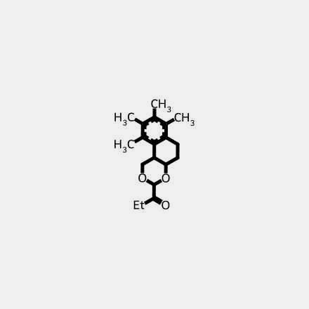 CCC(=O)C1OCC2c3c(C)c(C)c(C)c(C)c3CCC2O1